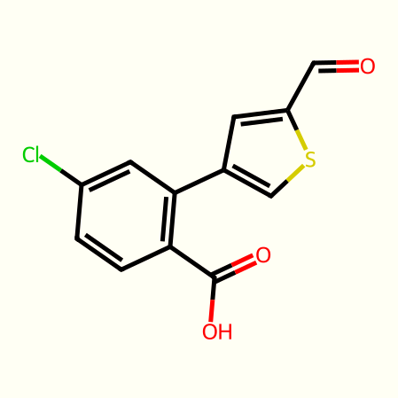 O=Cc1cc(-c2cc(Cl)ccc2C(=O)O)cs1